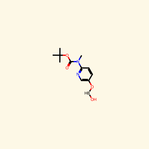 CN(C(=O)OC(C)(C)C)c1ccc(OBO)cn1